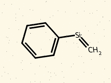 C=[Si]c1ccccc1